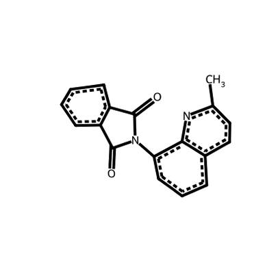 Cc1ccc2cccc(N3C(=O)c4ccccc4C3=O)c2n1